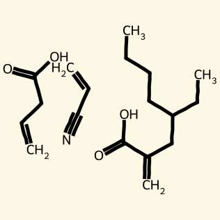 C=C(CC(CC)CCCC)C(=O)O.C=CC#N.C=CCC(=O)O